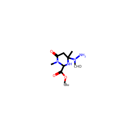 CN1C(=O)CC(C)(N(N)C=O)NC1C(=O)OC(C)(C)C